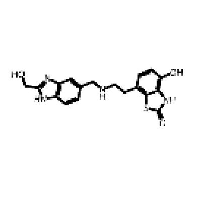 O=c1[nH]c2c(O)ccc(CCNCc3ccc4[nH]c(CO)nc4c3)c2s1